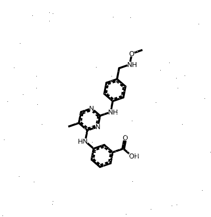 CONCc1ccc(Nc2ncc(C)c(Nc3cccc(C(=O)O)c3)n2)cc1